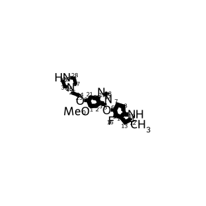 COc1cc2c(Oc3ccc4[nH]c(C)cc4c3F)ncnc2cc1OCCN1CCNCC1